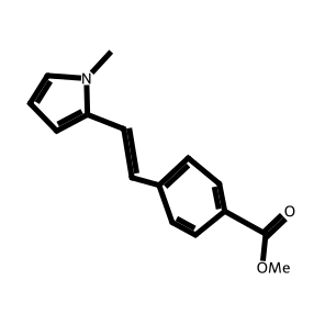 COC(=O)c1ccc(C=Cc2cccn2C)cc1